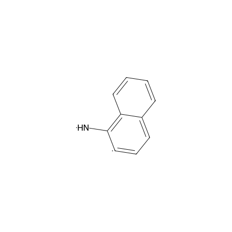 [NH]c1[c]ccc2ccccc12